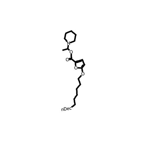 CCCCCCCCCCCCCCCCOc1ccc(C(=O)OC(C)N2CCCCC2)o1